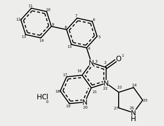 Cl.O=c1n(-c2cccc(-c3ccccc3)c2)c2cccnc2n1C1CCNC1